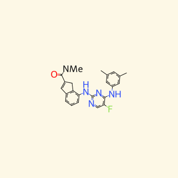 CNC(=O)C1=Cc2cccc(Nc3ncc(F)c(Nc4cc(C)cc(C)c4)n3)c2C1